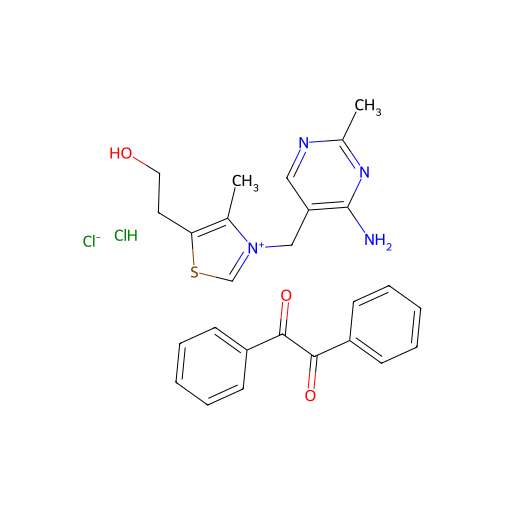 Cc1ncc(C[n+]2csc(CCO)c2C)c(N)n1.Cl.O=C(C(=O)c1ccccc1)c1ccccc1.[Cl-]